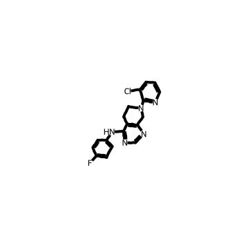 Fc1ccc(Nc2ncnc3c2CCN(c2ncccc2Cl)C3)cc1